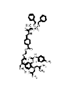 CC[C@@H](CC(=O)OCOC(=O)c1ccc(CNC(=O)[C@H](C)OP(=O)(OCc2ccccc2)OCc2ccccc2)cc1)c1ccc(N(CC(C)C)CC(C)C)c(NC(=O)Nc2ccc(C)cc2)c1